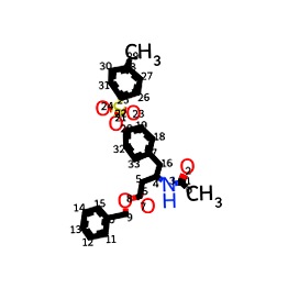 CC(=O)NC(CC(=O)OCc1ccccc1)Cc1ccc(OS(=O)(=O)c2ccc(C)cc2)cc1